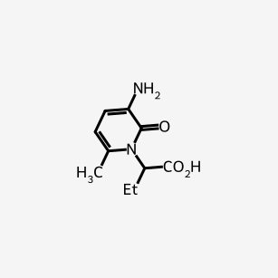 CCC(C(=O)O)n1c(C)ccc(N)c1=O